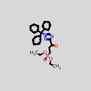 CCOP(=O)(CCC(=O)c1ncn(C(c2ccccc2)(c2ccccc2)c2ccccc2)n1)OCC